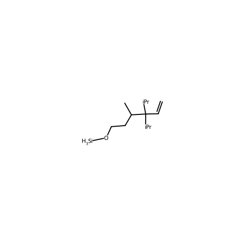 C=CC(C(C)C)(C(C)C)C(C)CCO[SiH3]